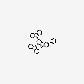 C1=Cc2c(c3ccccc3n2-c2cc3c(oc4ccc(-c5ccccc5)cc43)c(-n3c4ccccc4c4ccccc43)n2)CC1